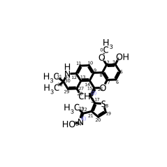 COc1c(O)ccc2c1-c1ccc3c(c1/C(=C/c1sccc1/C(C)=N/O)O2)C(C)=CC(C)(C)N3